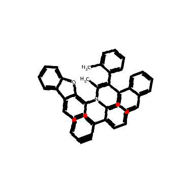 C/C(=C(\c1ccccc1C)c1cccc2ccccc12)N(c1ccccc1-c1c#cccc1)c1cccc2c1oc1ccccc12